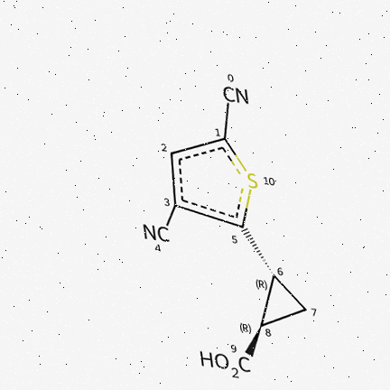 N#Cc1cc(C#N)c([C@@H]2C[C@H]2C(=O)O)s1